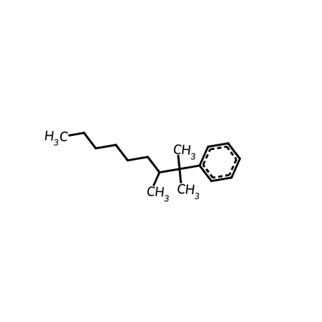 CCCCCCC(C)C(C)(C)c1ccccc1